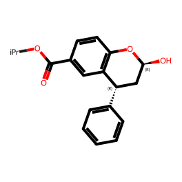 CC(C)OC(=O)c1ccc2c(c1)[C@@H](c1ccccc1)C[C@H](O)O2